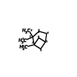 CC1(C)[CH]CC2CC1(C)C2